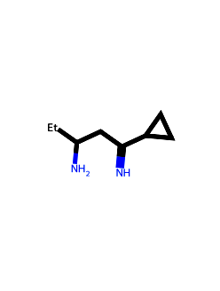 CCC(N)CC(=N)C1CC1